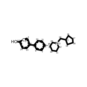 Oc1ccc(-c2ccc([C@H]3CCCN(CC4CCCC4)C3)cc2)cc1